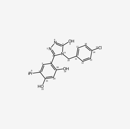 CC(C)c1cc(-c2nnc(O)n2Cc2ccc(Cl)cc2)c(O)cc1O